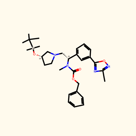 Cc1noc(-c2cccc([C@@H](CN3CC[C@H](O[Si](C)(C)C(C)(C)C)C3)N(C)C(=O)OCc3ccccc3)c2)n1